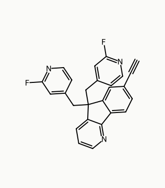 C#Cc1ccc2c(c1)C(Cc1ccnc(F)c1)(Cc1ccnc(F)c1)c1cccnc1-2